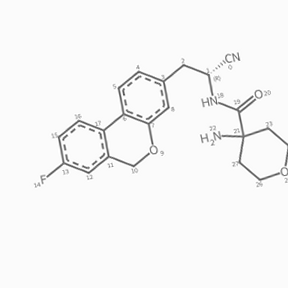 N#C[C@@H](Cc1ccc2c(c1)OCc1cc(F)ccc1-2)NC(=O)C1(N)CCOCC1